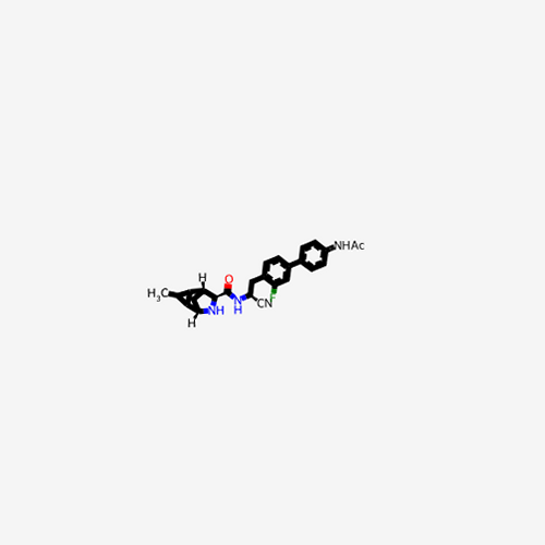 CC(=O)Nc1ccc(-c2ccc(C[C@@H](C#N)NC(=O)[C@H]3N[C@H]4C[C@@H]3C3C(C)C34)c(F)c2)cc1